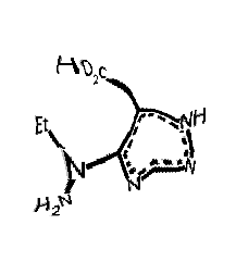 CCN(N)c1nn[nH]c1C(=O)O